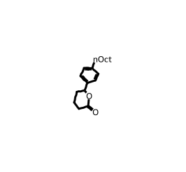 CCCCCCCCc1ccc(C2CCCC(=O)O2)cc1